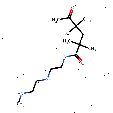 CNCCNCCNC(=O)C(C)(C)CC(C)(C)C(C)=O